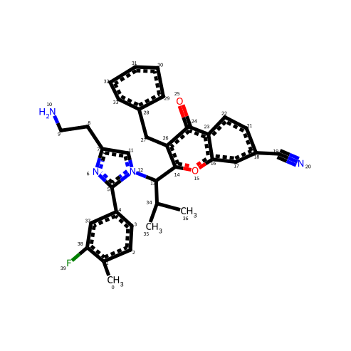 Cc1ccc(-c2nc(CCN)cn2C(c2oc3cc(C#N)ccc3c(=O)c2Cc2ccccc2)C(C)C)cc1F